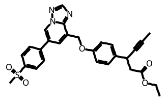 CC#CC(CC(=O)OCC)c1ccc(OCc2cc(-c3ccc(S(C)(=O)=O)cc3)cn3ncnc23)cc1